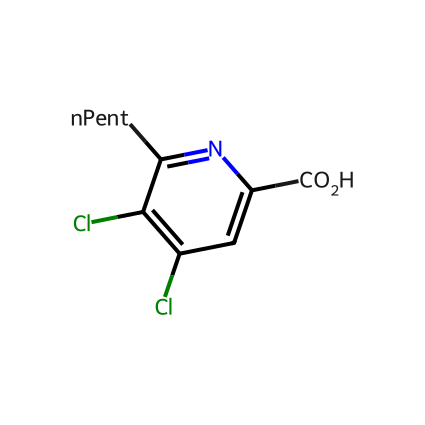 CCCCCc1nc(C(=O)O)cc(Cl)c1Cl